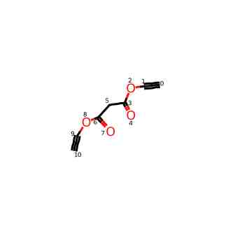 C#COC(=O)CC(=O)OC#C